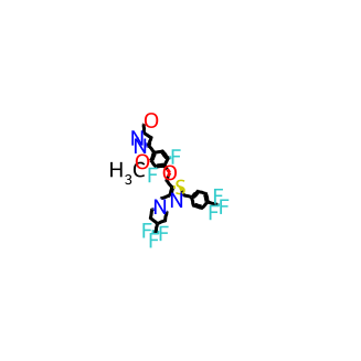 COc1c(C2=NN=C(C=O)C2)cc(F)c(OCc2sc(-c3ccc(C(F)(F)F)cc3)nc2CN2CCC(C(F)(F)F)CC2)c1F